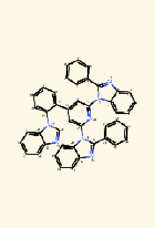 c1ccc(-c2nc3ccccc3n2-c2cc(-c3ccccc3-n3cnc4ccccc43)cc(-n3c(-c4ccccc4)nc4ccccc43)n2)cc1